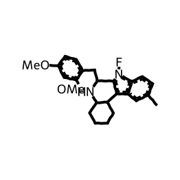 COc1ccc(CC2NC3CCCCC3c3c2n(F)c2ccc(C)cc32)c(OC)c1